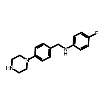 Fc1ccc(NCc2ccc(N3CCNCC3)cc2)cc1